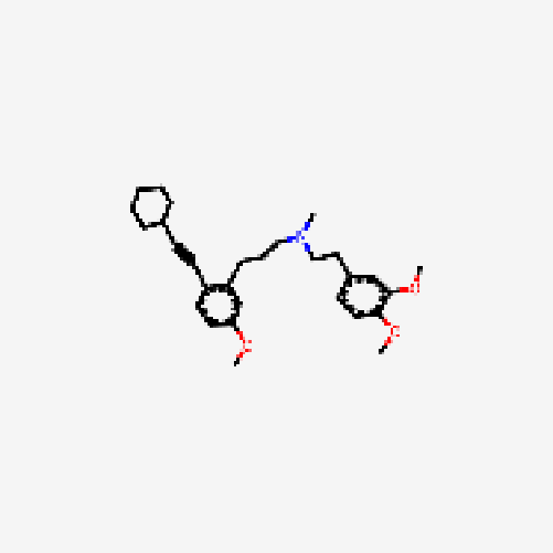 COc1ccc(C#CC2CCCCC2)c(CCCN(C)CCc2ccc(OC)c(OC)c2)c1